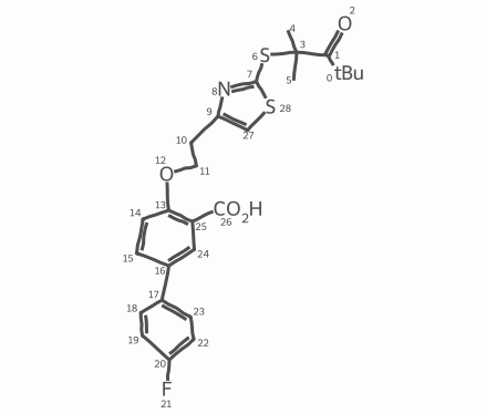 CC(C)(C)C(=O)C(C)(C)Sc1nc(CCOc2ccc(-c3ccc(F)cc3)cc2C(=O)O)cs1